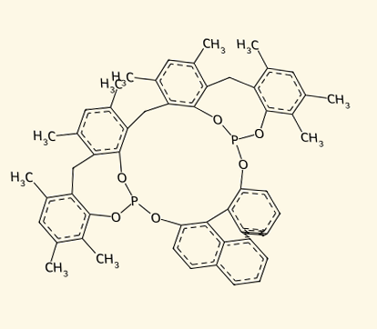 Cc1cc(C)c2c(c1C)OP1Oc3ccc4ccccc4c3-c3c(ccc4ccccc34)OP3Oc4c(C)c(C)cc(C)c4Cc4c(C)cc(C)c(c4O3)Cc3c(C)cc(C)c(c3O1)C2